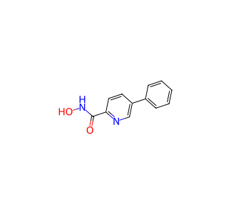 O=C(NO)c1ccc(-c2ccccc2)cn1